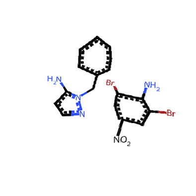 Nc1c(Br)cc([N+](=O)[O-])cc1Br.Nc1ccnn1Cc1ccccc1